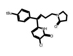 CC(C)(C)c1ccc(/C(=C/CCN2CCCC2=O)c2ccc(Cl)c(=O)[nH]2)cc1